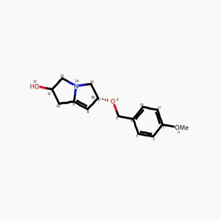 COc1ccc(CO[C@@H]2C=C3CC(O)CN3C2)cc1